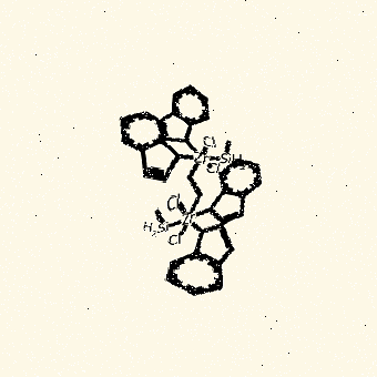 C[SiH2][Zr]([Cl])([Cl])([CH2][CH2][Zr]([Cl])([Cl])([SiH2]C)([CH]1C=Cc2ccccc21)[CH]1C=Cc2ccccc21)([CH]1C=Cc2ccccc21)[CH]1C=Cc2ccccc21